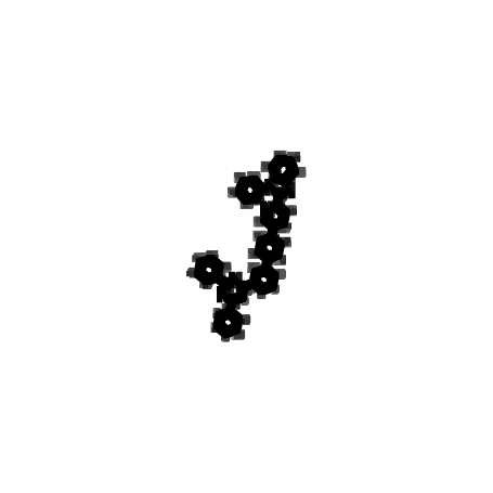 c1ccc(-c2cc(-c3cccc(-c4ccc(-c5ccc(-c6nc7ccccc7n6-c6ccccc6)nc5)cc4)c3)nc(-c3ccccc3)n2)cc1